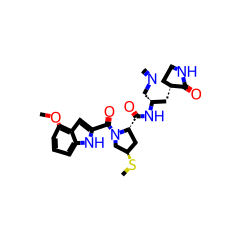 C=NC[C@H](C[C@@H]1CCNC1=O)NC(=O)[C@@H]1C[C@@H](SC)CN1C(=O)c1cc2c(OC)cccc2[nH]1